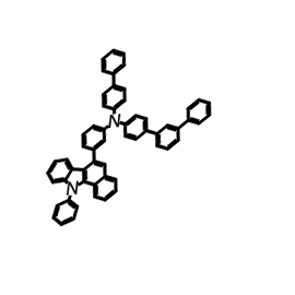 c1ccc(-c2ccc(N(c3ccc(-c4cccc(-c5ccccc5)c4)cc3)c3cccc(-c4cc5ccccc5c5c4c4ccccc4n5-c4ccccc4)c3)cc2)cc1